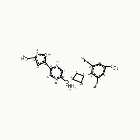 Cc1cc(F)c([C@H]2C[C@@H](Oc3cnc(-c4cc(O)no4)cn3)C2)c(F)c1.N